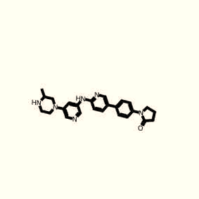 CC1CN(c2cncc(Nc3ccc(-c4ccc(N5CCCC5=O)cc4)cn3)c2)CCN1